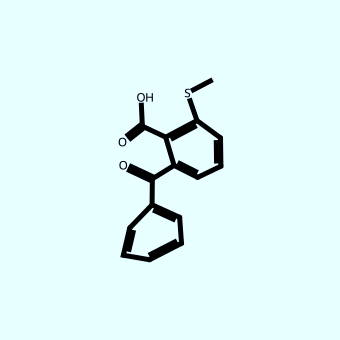 CSc1cccc(C(=O)c2ccccc2)c1C(=O)O